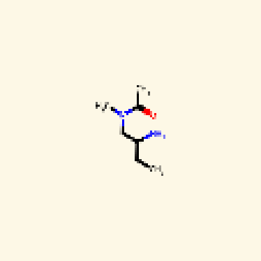 CCC(N)CN(C)C(C)=O